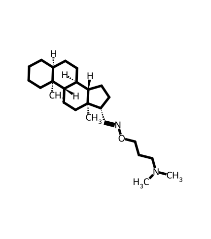 CN(C)CCCO/N=C/[C@H]1CC[C@H]2[C@@H]3CC[C@@H]4CCCC[C@]4(C)[C@H]3CC[C@]12C